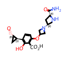 NC(=O)[C@H]1C[C@@H](N2CC(Oc3ccc([C@H]4C[C@H]4B=O)c(O)c3C(=O)O)C2)CN1